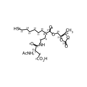 CC(=O)N[C@@H](CC(=O)O)C(=O)NCCN(CCCCCCS)C(=O)OCc1oc(=O)oc1C